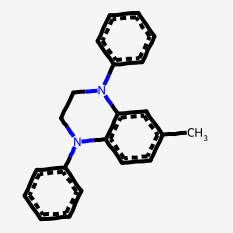 Cc1ccc2c(c1)N(c1ccccc1)CCN2c1ccccc1